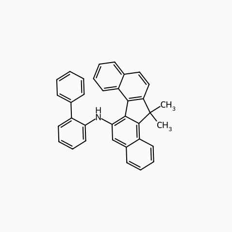 CC1(C)c2ccc3ccccc3c2-c2c(Nc3ccccc3-c3ccccc3)cc3ccccc3c21